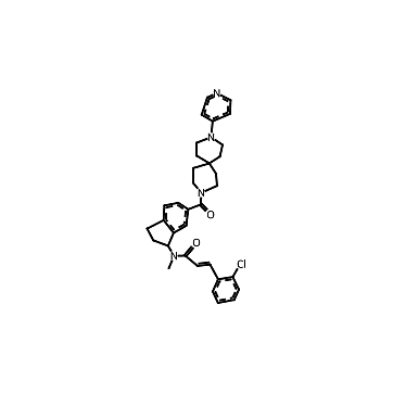 CN(C(=O)C=Cc1ccccc1Cl)C1CCc2ccc(C(=O)N3CCC4(CC3)CCN(c3ccncc3)CC4)cc21